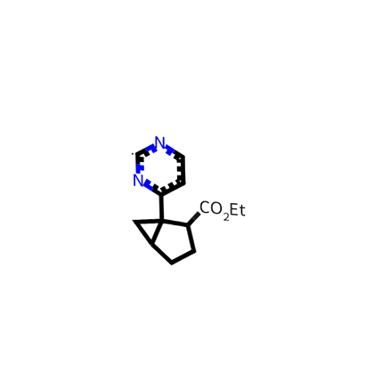 CCOC(=O)C1CCC2CC21c1ccn[c]n1